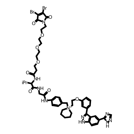 CC(C)C(NC(=O)CCOCCOCCOCCN1C(=O)C(Br)=C(Br)C1=O)C(=O)NCC(=O)Nc1ccc(C[N+]2(CCOc3cccc(-c4n[nH]c5ccc(-c6ncn[nH]6)cc45)c3)CCCCC2)cc1